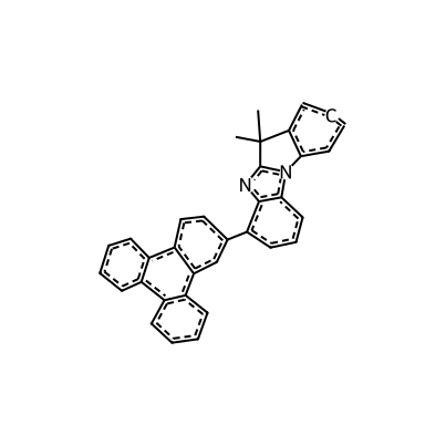 CC1(C)c2ccccc2-n2c1nc1c(-c3ccc4c5ccccc5c5ccccc5c4c3)cccc12